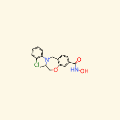 CC1COc2cc(C(=O)NO)ccc2CN1c1ccccc1Cl